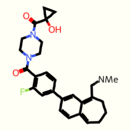 CNCC1=c2cc(-c3ccc(C(=O)N4CCN(C(=O)C5(O)CC5)CC4)c(F)c3)ccc2=CCCC1